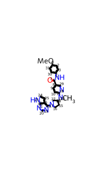 COc1ccc(NC(=O)c2ccc(N(C)[C@@H]3CCN(c4ncnc5[nH]ccc45)C3)nc2)cc1